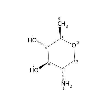 C[C@H]1O[CH][C@H](N)[C@@H](O)[C@@H]1O